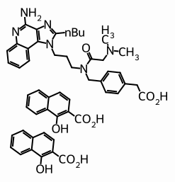 CCCCc1nc2c(N)nc3ccccc3c2n1CCCN(Cc1ccc(CC(=O)O)cc1)C(=O)CN(C)C.O=C(O)c1ccc2ccccc2c1O.O=C(O)c1ccc2ccccc2c1O